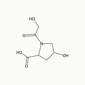 O=C(O)C1CC(O)CN1C(=O)CO